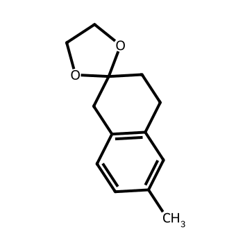 Cc1ccc2c(c1)CCC1(C2)OCCO1